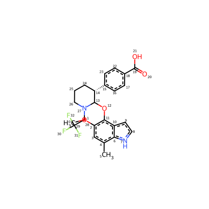 COc1cc(C)c2[nH]ccc2c1OC1[C@@H](c2ccc(C(=O)O)cc2)CCCN1CC(F)(F)F